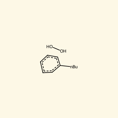 CCCCc1ccccc1.OO